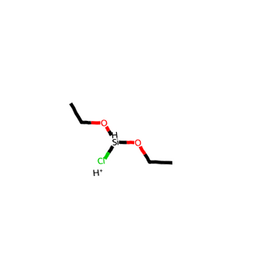 CCO[SiH](Cl)OCC.[H+]